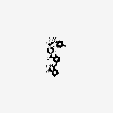 CC(C)(C(=O)N1CCN(C(=O)c2cc(Cc3n[nH]c(=O)c4ccccc34)ccc2F)CC1)[S+]([O-])c1ccc(F)cc1